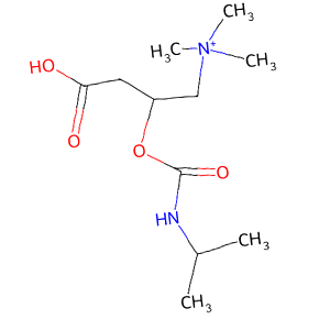 CC(C)NC(=O)OC(CC(=O)O)C[N+](C)(C)C